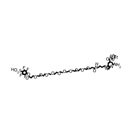 CCCN(OCC)C(=O)C1=Cc2c(cnn2CCCCNC(=O)CCOCCOCCOCCOCCOCCOCCOCCOCCOCCOCCC(=O)Oc2c(F)c(F)c(S(=O)(=O)O)c(F)c2F)N=C(N)C1